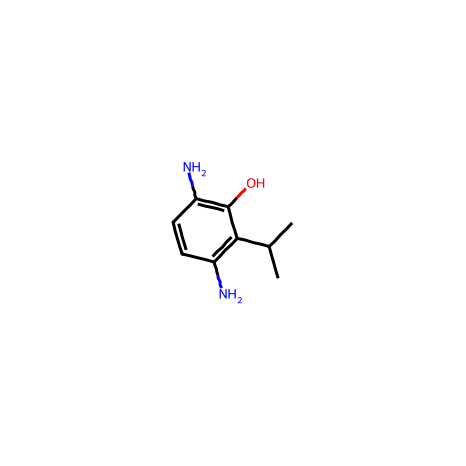 CC(C)c1c(N)ccc(N)c1O